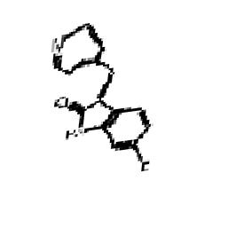 O=C1Nc2cc(F)ccc2C1=Cc1ccncc1